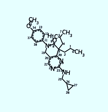 CCCC1(CC(C)C)C(=O)N(c2ccc(OC)cc2)Cc2cnc(NCC3CC3)nc21